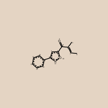 CC=C(C)C(=O)c1cc(-c2ccccc2)no1